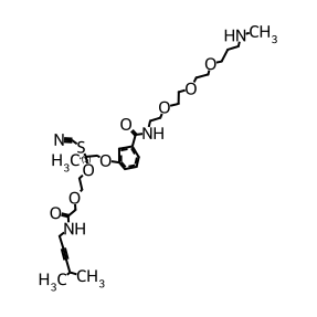 CNCCCOCCOCCOCCNC(=O)c1cccc(OC[C@@](C)(OCCOCC(=O)NCC#CC(C)C)SC#N)c1